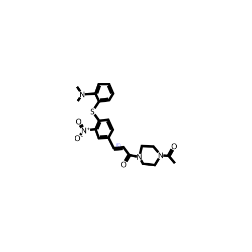 CC(=O)N1CCN(C(=O)/C=C/c2ccc(Sc3ccccc3N(C)C)c([N+](=O)[O-])c2)CC1